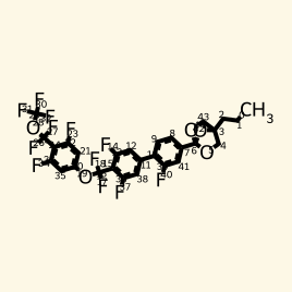 CCCC12COC(c3ccc(-c4cc(F)c(C(F)(F)Oc5cc(F)c(C(F)(F)OC(F)(F)F)c(F)c5)c(F)c4)c(F)c3)(OC1)O2